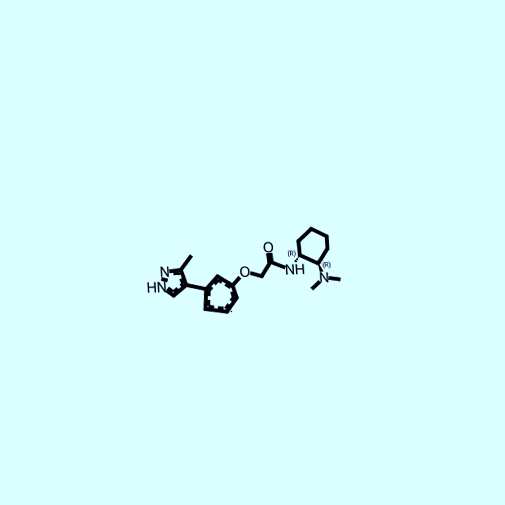 Cc1n[nH]cc1-c1c[c]cc(OCC(=O)N[C@@H]2CCCC[C@H]2N(C)C)c1